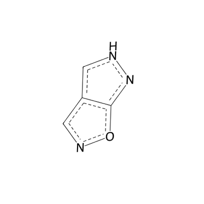 c1noc2n[nH]cc12